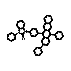 O=c1n(-c2ccccc2)c2ccccc2n1-c1ccc(-c2c3cc(-c4ccccc4)ccc3c(-c3ccccc3)c3cc4ccccc4cc23)cc1